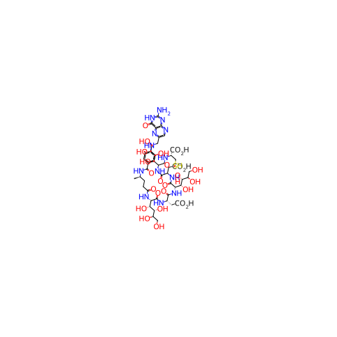 C[C@H](CCC(=O)N[C@H](C(=O)N[C@@H](CC(=O)O)C(=O)N[C@H](C(=O)NC(CC(=O)O)C(=O)N[C@H](C(=O)N[C@@H](CS)C(=O)O)[C@@H](O)[C@H](O)[C@H](O)CO)[C@@H](O)[C@H](O)[C@H](O)CO)[C@@H](O)[C@H](O)[C@H](O)CO)NC(=O)c1ccc(NCc2cnc3nc(N)[nH]c(=O)c3n2)cc1